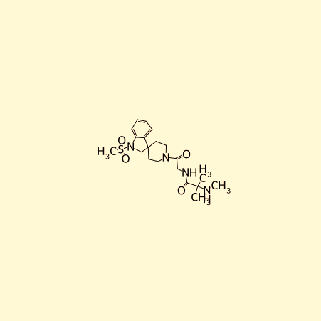 CNC(C)(C)C(=O)NCC(=O)N1CCC2(CC1)CN(S(C)(=O)=O)c1ccccc12